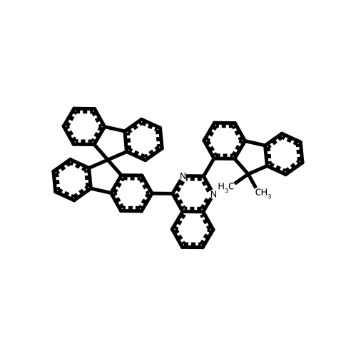 CC1(C)c2ccccc2-c2cccc(-c3nc(-c4ccc5c(c4)C4(c6ccccc6-c6ccccc64)c4ccccc4-5)c4ccccc4n3)c21